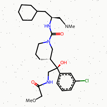 CNC[C@H](CC1CCCCC1)NC(=O)N1CCC[C@@H]([C@@](O)(CNC(=O)COC)c2cccc(Cl)c2)C1